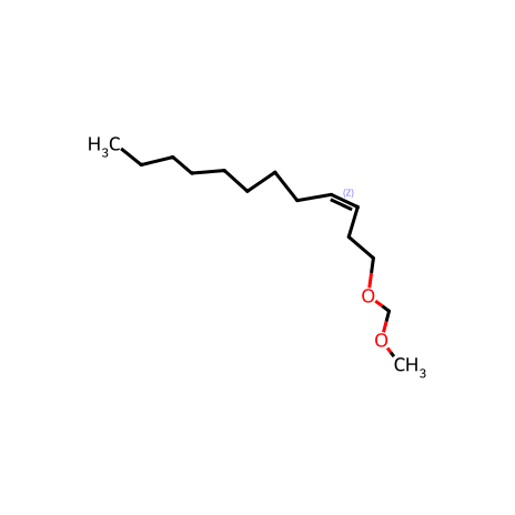 CCCCCCCC/C=C\CCOCOC